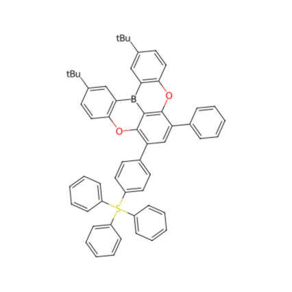 CC(C)(C)c1ccc2c(c1)B1c3cc(C(C)(C)C)ccc3Oc3c(-c4ccc(S(c5ccccc5)(c5ccccc5)c5ccccc5)cc4)cc(-c4ccccc4)c(c31)O2